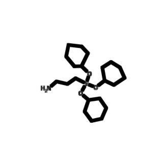 NCCC[Si](OC1CCCCC1)(OC1CCCCC1)OC1CCCCC1